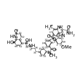 COc1cccc(Nc2c(C(N)=O)cnc3c(C)cc(S(=O)(=O)c4cccc(C(=O)N(C)c5ccc(CCCNC[C@H](O)c6ccc(O)c7[nH]c(=O)ccc67)cc5)c4)cc23)c1